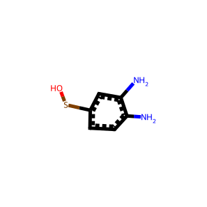 Nc1ccc(SO)cc1N